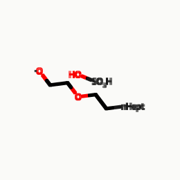 CCCCCCCCCOCC[O].O=S(=O)(O)O